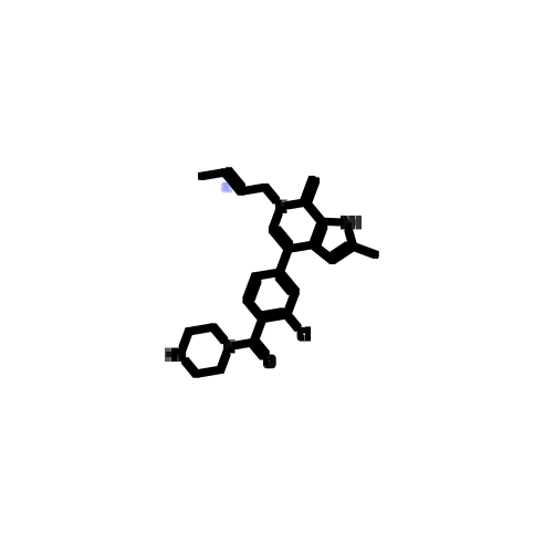 C=C1c2[nH]c(C)cc2C(c2ccc(C(=O)N3CCNCC3)c(Cl)c2)=CN1C/C=C/C